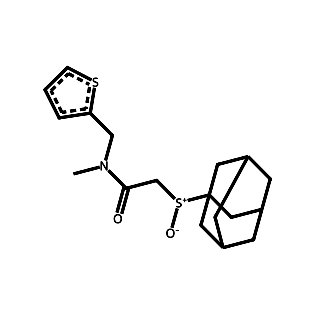 CN(Cc1cccs1)C(=O)C[S+]([O-])C12CC3CC(CC(C3)C1)C2